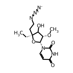 CC[C@@]1(CCN=[N+]=[N-])O[C@@H](n2ccc(=O)[nH]c2=O)[C@@H](OC)C1O